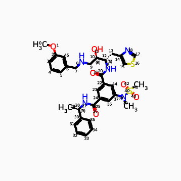 COc1cccc(CNC[C@@H](O)[C@H](Cc2cscn2)NC(=O)c2cc(C(=O)N[C@H](C)c3ccccc3)cc(N(C)S(C)(=O)=O)c2)c1